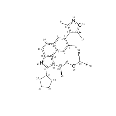 Cc1cc2c(cc1-c1c(C)noc1C)ncc1nc(C3CCCC3)n([C@H](C)COC(F)F)c12